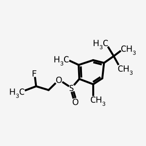 Cc1cc(C(C)(C)C)cc(C)c1S(=O)OCC(C)F